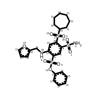 NS(=O)(=O)c1cc(S(=O)(=O)Oc2ccccc2)c(NCc2ccco2)cc1S(=O)(=O)C1CCCCCC1